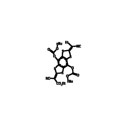 [C-]#[N+]C(CC)=C1Sc2c(OC(=O)OCCCC)c3c(c(OC(=O)OCCCC)c2S1)SC(=C(C#N)C(=O)OCC)S3